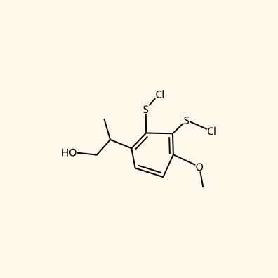 COc1ccc(C(C)CO)c(SCl)c1SCl